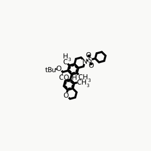 Cc1c(-c2c(C)c3c(c(C)c2[C@@H](OC(C)(C)C)C(=O)O)CCN(S(=O)(=O)C2CCCCC2)C3)ccc2c1CCCO2